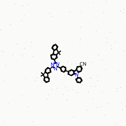 CC1(C)c2ccccc2-c2cc(-c3nc(-c4ccc(-c5ccc6c(c5)c5cc(C#N)ccc5n6-c5ccccc5)cc4)nc(-c4ccc5c(c4)C(C)(C)c4ccccc4-5)n3)ccc21